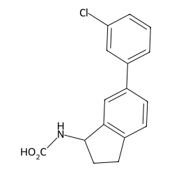 O=C(O)NC1CCc2ccc(-c3cccc(Cl)c3)cc21